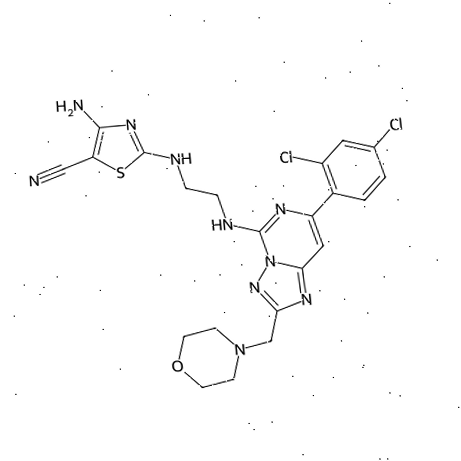 N#Cc1sc(NCCNc2nc(-c3ccc(Cl)cc3Cl)cc3nc(CN4CCOCC4)nn23)nc1N